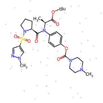 C[C@@H](C(=O)OC(C)(C)C)N(C(=O)[C@@H]1CCCN1S(=O)(=O)c1cnn(C)c1)c1ccc(OC(=O)N2CCN(C)CC2)cc1